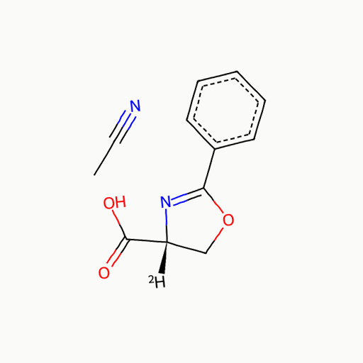 CC#N.[2H][C@]1(C(=O)O)COC(c2ccccc2)=N1